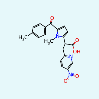 Cc1ccc(C(=O)c2ccc(C(Cc3ccc([N+](=O)[O-])cn3)C(=O)O)n2C)cc1